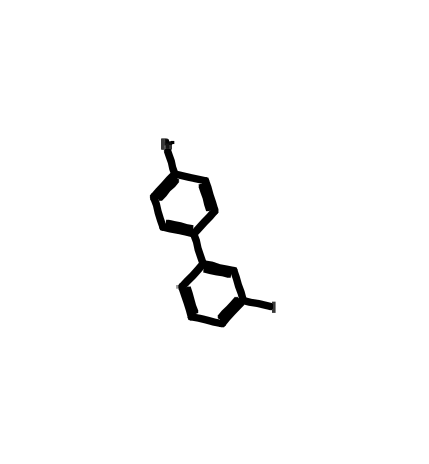 Brc1ccc(-c2[c]ccc(I)c2)cc1